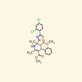 COC(=O)C1=C(C)NC(C)(c2nc(-c3ccc(Cl)cc3Cl)cs2)C(C(=O)OC)C1c1ccccc1